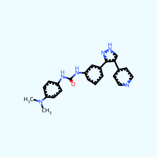 CN(C)c1ccc(NC(=O)Nc2cccc(-c3n[nH]cc3-c3ccncc3)c2)cc1